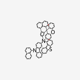 c1ccc2c(c1)Oc1ccccc1C21c2cc(N(c3ccc4c(c3)c3ccccc3n4-c3cccc4ccccc34)c3cccc4sc5ccccc5c34)ccc2-c2cccc3cccc1c23